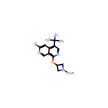 CCOC(=O)N1CC(Oc2ncc(C(C)(C)N)c3cc(Cl)ncc23)C1